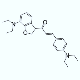 CCN(CC)c1ccc(C=CC(=O)C2COc3c2cccc3N(CC)CC)cc1